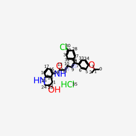 CC(C)Oc1ccc(/C(=C/C=C/C(=O)Nc2cccc3c2CC(O)CN3)c2ccc(Cl)cc2)cc1.Cl